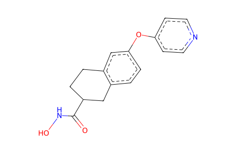 O=C(NO)C1CCc2cc(Oc3ccncc3)ccc2C1